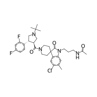 CC(=O)NCCCN1C(=O)C2(CCN(C(=O)[C@@H]3CN(C(C)(C)C)C[C@H]3c3ccc(F)cc3F)CC2)c2cc(Cl)c(C)cc21